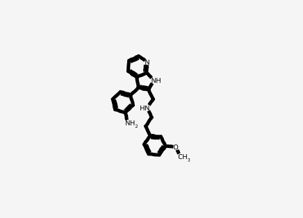 COc1cccc(CCNCc2[nH]c3ncccc3c2-c2cccc(N)c2)c1